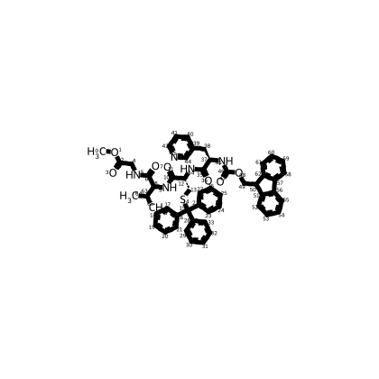 COC(=O)CNC(=O)C(NC(=O)[C@@H](CSC(c1ccccc1)(c1ccccc1)c1ccccc1)NC(=O)[C@@H](Cc1cccnc1)NC(=O)OCC1c2ccccc2-c2ccccc21)C(C)C